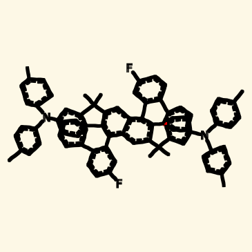 Cc1ccc(N(c2ccc(C)cc2)c2ccc3c(c2)C(C)(C)c2cc4c(-c5cc(F)ccc5-c5ccccc5)c5c(cc4c(-c4cc(F)ccc4-c4ccccc4)c2-3)C(C)(C)c2cc(N(c3ccc(C)cc3)c3ccc(C)cc3)ccc2-5)cc1